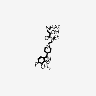 CCN(CCN1CCC(c2noc3c2C=CC(F)C3C)CC1)C(=O)C(O)CNC(C)=O